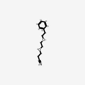 N#CCCOCCOCCc1ccccc1